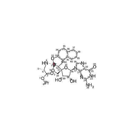 CC(C)OC(=O)[C@H](C)N[P@](=O)(OC[C@@]1(C(F)F)O[C@@H](n2cnc3c(=O)[nH]c(N)nc32)[C@H](O)[C@@H]1O)Oc1ccc2ccccc2c1